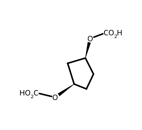 O=C(O)O[C@@H]1CC[C@H](OC(=O)O)C1